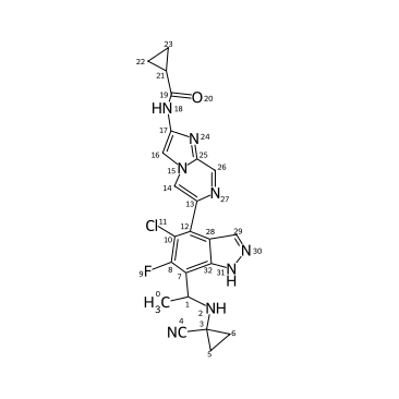 CC(NC1(C#N)CC1)c1c(F)c(Cl)c(-c2cn3cc(NC(=O)C4CC4)nc3cn2)c2cn[nH]c12